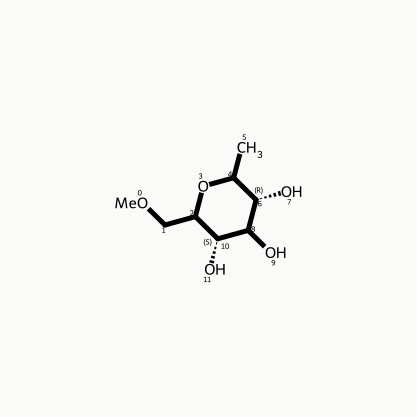 COCC1OC(C)[C@H](O)C(O)[C@@H]1O